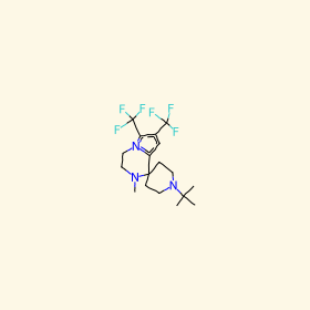 CN1CCn2c(cc(C(F)(F)F)c2C(F)(F)F)C12CCN(C(C)(C)C)CC2